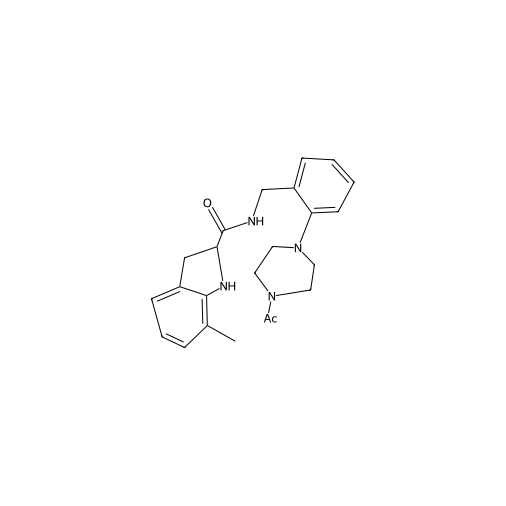 CC(=O)N1CCN(c2ccccc2CNC(=O)C2Cc3cccc(C)c3N2)CC1